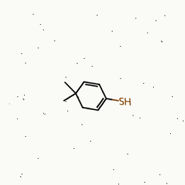 CC1(C)C=CC(S)=CC1